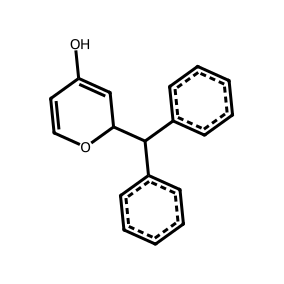 OC1=CC(C(c2ccccc2)c2ccccc2)OC=C1